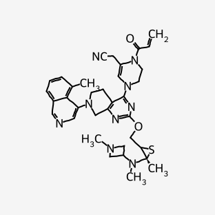 C=CC(=O)N1CCN(c2nc(OCC3S[C@]3(C)N(C)C3CN(C)C3)nc3c2CCN(c2cncc4cccc(C)c24)C3)C=C1CC#N